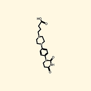 O=C(O)CCCN1CCN(c2ccc(N3CCC(=O)NC3=O)cc2)CC1